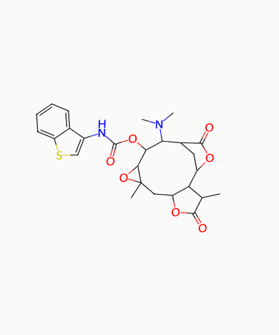 CC1C(=O)OC2CC3(C)OC3C(OC(=O)Nc3csc4ccccc34)C(N(C)C)C3CC(OC3=O)C21